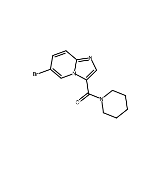 O=C(c1cnc2ccc(Br)cn12)N1CCCCC1